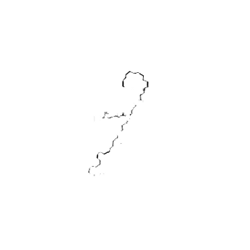 CCCCC/C=C\C/C=C\C/C=C\C/C=C\CCCC(=O)OCCCN(CCCOC(=O)CCC/C=C\C/C=C\C/C=C\C/C=C\CCCCC)C(=O)CCCN(C)C